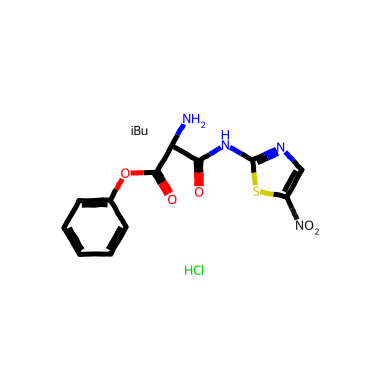 CC[C@H](C)C(N)(C(=O)Nc1ncc([N+](=O)[O-])s1)C(=O)Oc1ccccc1.Cl